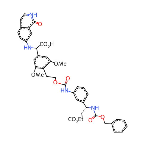 CCOC(=O)C[C@@H](NC(=O)OCc1ccccc1)c1cccc(NC(=O)OCCc2c(OC)cc(C(Nc3ccc4cc[nH]c(=O)c4c3)C(=O)O)cc2OC)c1